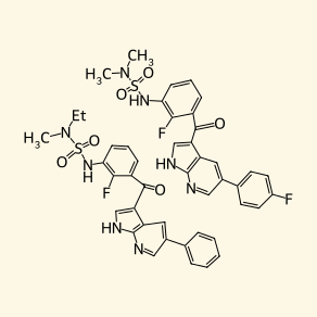 CCN(C)S(=O)(=O)Nc1cccc(C(=O)c2c[nH]c3ncc(-c4ccccc4)cc23)c1F.CN(C)S(=O)(=O)Nc1cccc(C(=O)c2c[nH]c3ncc(-c4ccc(F)cc4)cc23)c1F